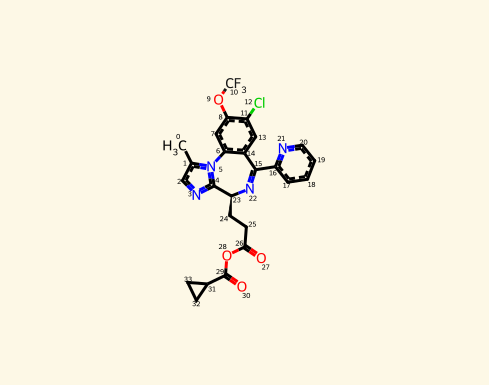 Cc1cnc2n1-c1cc(OC(F)(F)F)c(Cl)cc1C(c1ccccn1)=N[C@H]2CCC(=O)OC(=O)C1CC1